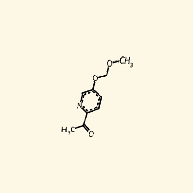 COCOc1ccc(C(C)=O)nc1